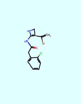 C=C(Br)C1=C(NC(=O)Cc2ccccc2Cl)NC1